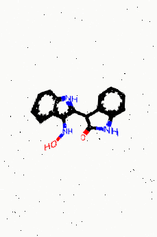 O=C1Nc2ccccc2C1c1[nH]c2ccccc2c1NO